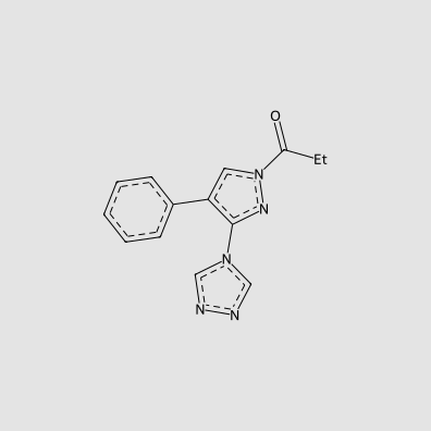 CCC(=O)n1cc(-c2ccccc2)c(-n2cnnc2)n1